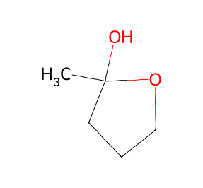 CC1(O)CCCO1